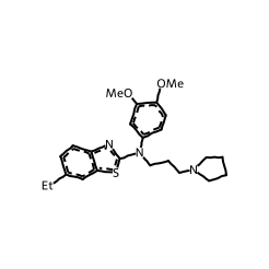 CCc1ccc2nc(N(CCCN3CCCC3)c3ccc(OC)c(OC)c3)sc2c1